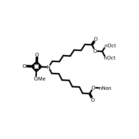 CCCCCCCCCOC(=O)CCCCCCCN(CCCCCCCC(=O)OC(CCCCCCCC)CCCCCCCC)c1c(OC)c(=O)c1=O